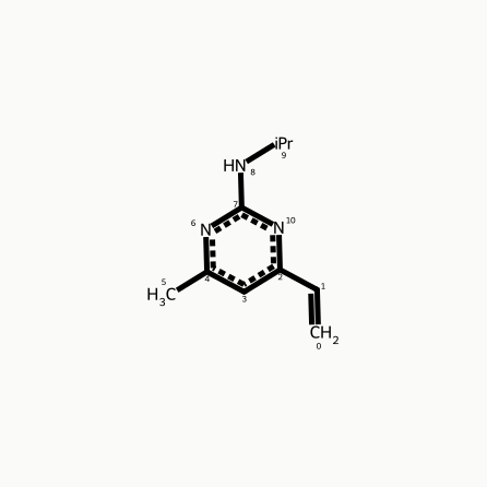 C=Cc1cc(C)nc(NC(C)C)n1